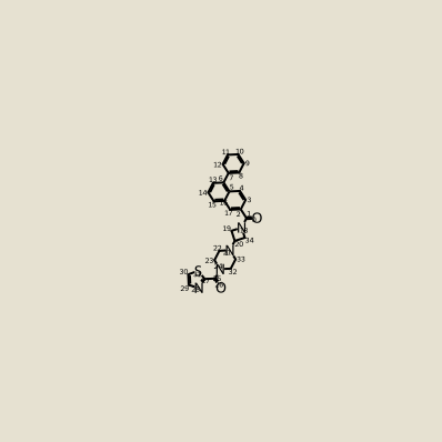 O=C(c1ccc2c(-c3ccccc3)cccc2c1)N1CC(N2CCN(C(=O)c3nccs3)CC2)C1